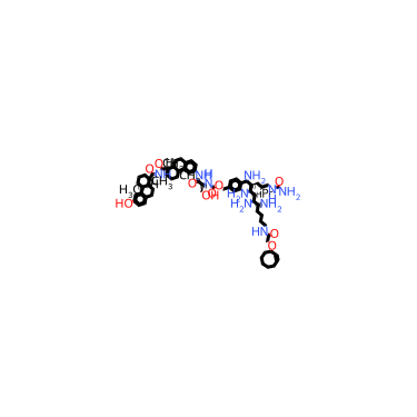 CC(C)[C@@H](C(N)[C@H](CCCNC(N)=O)C(N)c1ccc(COC(=O)N[C@@H](CO)C(=O)Nc2ccc3c(c2)[C@@]2(C)CCC[C@](C)(C(=O)NC(=O)[C@@]4(C)CCC[C@]5(C)c6cc(O)ccc6CC[C@@H]45)[C@@H]2CC3)cc1)C(N)[C@H](N)CCCCNC(=O)COC1C#CCCCCC1